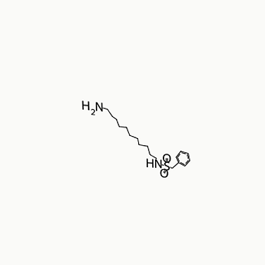 NCCCCCCCCCCCNS(=O)(=O)Cc1ccccc1